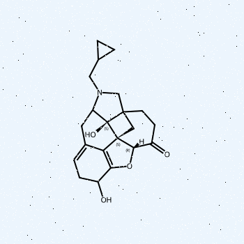 O=C1CCC23CN(CC4CC4)C4CC5=CCC(O)C6=C5[C@@](C2)([C@H]1O6)[C@]43O